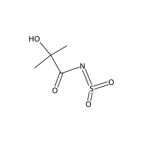 CC(C)(O)C(=O)N=S(=O)=O